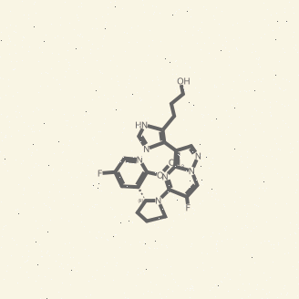 COc1ncc(F)cc1[C@H]1CCCN1c1nc2c(-c3nc[nH]c3CCCO)cnn2cc1F